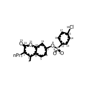 CCCc1c(C)c2ccc(OS(=O)(=O)c3ccc(Cl)cc3)cc2oc1=O